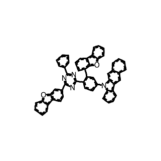 c1ccc(-c2nc(-c3ccc4c(c3)oc3ccccc34)nc(-c3ccc(-n4c5ccccc5c5cc6ccccc6cc54)cc3-c3cccc4c3oc3ccccc34)n2)cc1